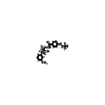 Cc1cccc(S(=O)(=O)C(C)(C)CNC(=O)c2ccc(OCC(F)(F)F)nc2)c1